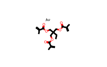 C=C(C)C(=O)OCC(CC)(COC(=O)C(=C)C)COC(=O)C(=C)C.[Au]